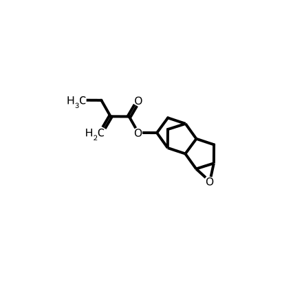 C=C(CC)C(=O)OC1CC2CC1C1C2CC2OC21